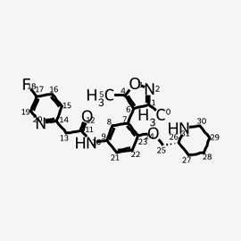 Cc1noc(C)c1-c1cc(NC(=O)Cc2ccc(F)cn2)ccc1OC[C@H]1CCCCN1